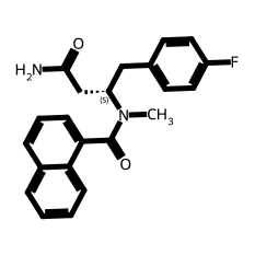 CN(C(=O)c1cccc2ccccc12)[C@H](CC(N)=O)Cc1ccc(F)cc1